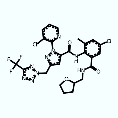 Cc1cc(Cl)cc(C(=O)NCC2CCCO2)c1NC(=O)c1cc(Cn2nnc(C(F)(F)F)n2)nn1-c1ncccc1Cl